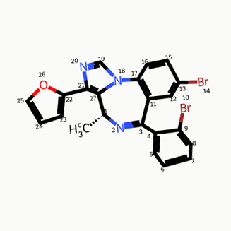 C[C@H]1N=C(c2ccccc2Br)c2cc(Br)ccc2-n2cnc(-c3ccco3)c21